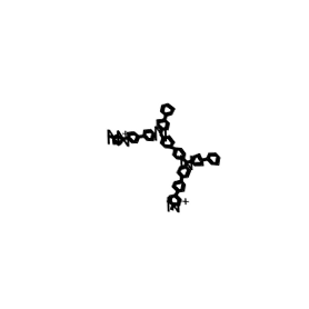 C[n+]1ccc(-c2ccc(-c3ccc(N(c4ccc(-c5ccccc5)cc4)c4ccc(-c5ccc(N(c6ccc(-c7ccccc7)cc6)c6ccc(-c7ccc(-n8cc[n+](C)c8)cc7)cc6)cc5)cc4)cc3)cc2)cc1